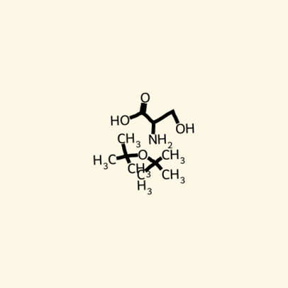 CC(C)(C)OC(C)(C)C.NC(CO)C(=O)O